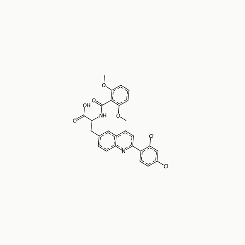 COc1cccc(OC)c1C(=O)NC(Cc1ccc2nc(-c3ccc(Cl)cc3Cl)ccc2c1)C(=O)O